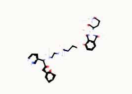 O=C(CCCOc1cccc2c1C(=O)N(C1CCC(=O)NC1=O)C2=O)NCCNC(c1cccnc1)c1cc2ccccc2o1